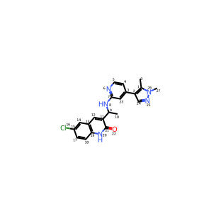 Cc1c(-c2ccnc(NC(C)c3cc4cc(Cl)ccc4[nH]c3=O)c2)cnn1C